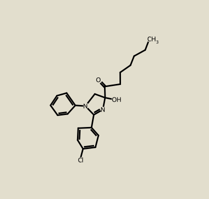 CCCCCCC(=O)C1(O)CN(c2ccccc2)C(c2ccc(Cl)cc2)=N1